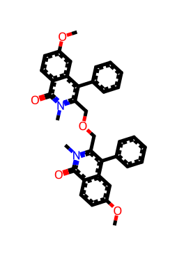 COc1ccc2c(=O)n(C)c(COCc3c(-c4ccccc4)c4cc(OC)ccc4c(=O)n3C)c(-c3ccccc3)c2c1